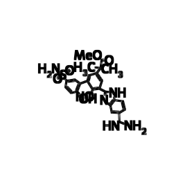 COC(=O)C(C)(C)c1cc(-c2nc3cc(C(=N)N)ccc3[nH]2)c(O)c(-c2cc(S(N)(=O)=O)ccc2O)c1